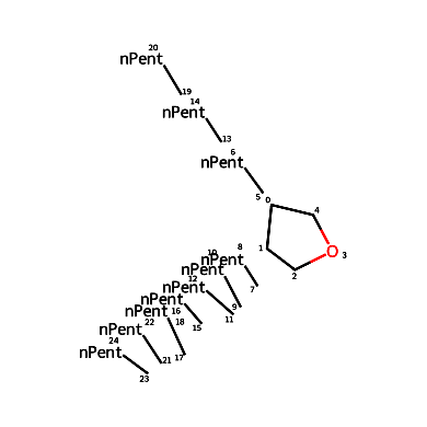 C1CCOC1.CCCCCC.CCCCCC.CCCCCC.CCCCCC.CCCCCC.CCCCCC.CCCCCC.CCCCCC.CCCCCC.CCCCCC